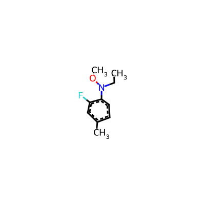 CCN(OC)c1ccc(C)cc1F